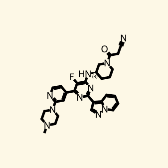 CN1CCN(c2cc(-c3nc(-c4cnn5ccccc45)nc(N[C@@H]4CCCN(C(=O)CC#N)C4)c3F)ccn2)CC1